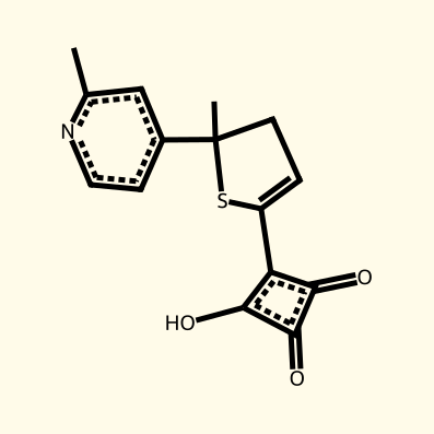 Cc1cc(C2(C)CC=C(c3c(O)c(=O)c3=O)S2)ccn1